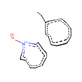 Cc1ccccc1.[O-][n+]1ccccc1